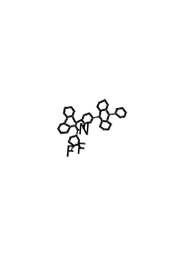 Fc1ccc(-c2nc3cc(-c4c5ccccc5c(-c5ccccc5)c5ccccc45)ccc3c3c4ccccc4c4ccccc4c23)cc1F